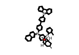 Cc1ccccc1Oc1cc(N(c2ccc(-c3ccc(-n4c5ccccc5c5ccccc54)cc3)cc2)c2ccc3ccccc3c2)ccc1C1[C@H]2C[C@H](C)C[C@H]1C[C@H](C)C2